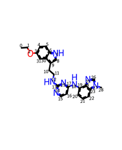 CCOc1ccc2[nH]cc(CCNc3nccc(Nc4cccc5c4ncn5C)n3)c2c1